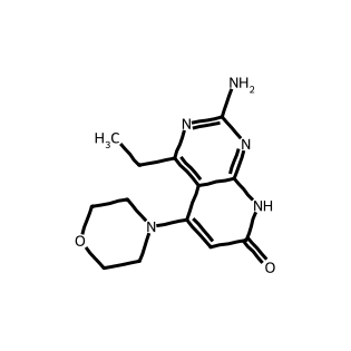 CCc1nc(N)nc2[nH]c(=O)cc(N3CCOCC3)c12